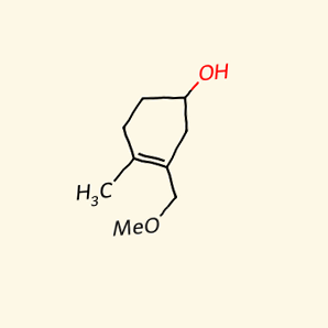 COCC1=C(C)CCC(O)C1